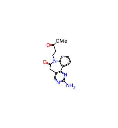 COC(=O)CCN1C(=O)Cc2cnc(N)nc2-c2ccccc21